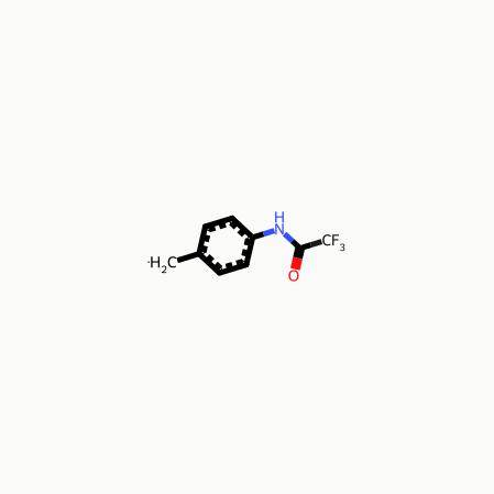 [CH2]c1ccc(NC(=O)C(F)(F)F)cc1